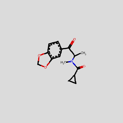 CC(C(=O)c1ccc2c(c1)OCO2)N(C)C(=O)C1CC1